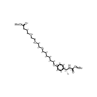 COC(=O)CCCOCCOCCOCCCCCCOc1ccc([C@@H](C)NC(=O)OC(C)(C)C)cc1